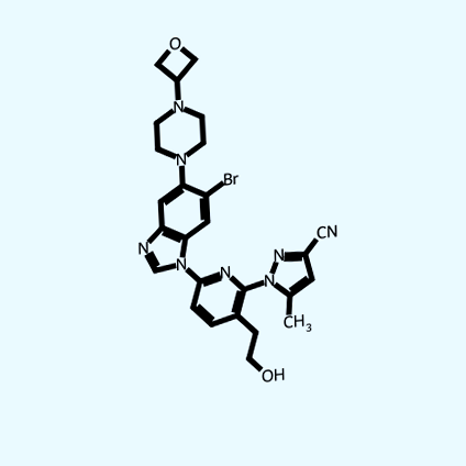 Cc1cc(C#N)nn1-c1nc(-n2cnc3cc(N4CCN(C5COC5)CC4)c(Br)cc32)ccc1CCO